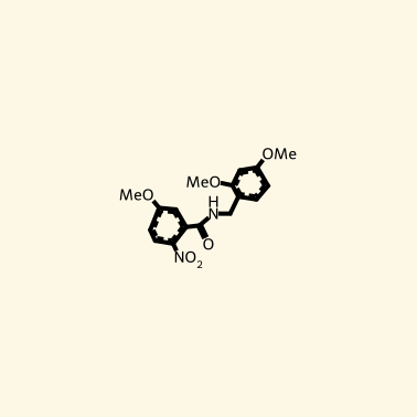 COc1ccc(CNC(=O)c2cc(OC)ccc2[N+](=O)[O-])c(OC)c1